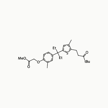 CCC(CC)(c1ccc(OCC(=O)OC)c(C)c1)c1cc(C)c(CCC(=O)C(C)(C)C)s1